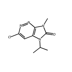 CC(C)n1c(=O)n(C)c2nnc(Cl)cc21